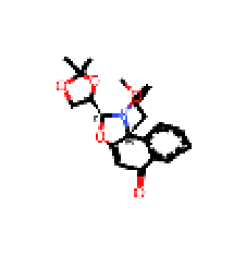 C=CC[C@]12C(=CC(=O)c3ccccc31)O[C@@H](C1COC(C)(C)O1)N2OC